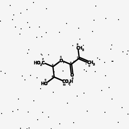 C=C(C)C(=O)OC(C(=O)O)C(O)C(=O)O